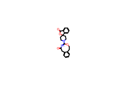 O=C1Cc2ccccc2CCO/C(N2CCC3(CC2)OC(=O)c2ccccc23)=N\1